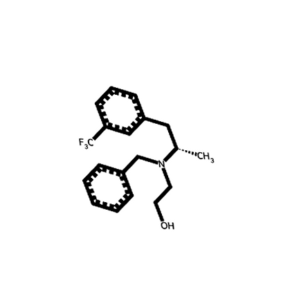 C[C@@H](Cc1cccc(C(F)(F)F)c1)N(CCO)Cc1ccccc1